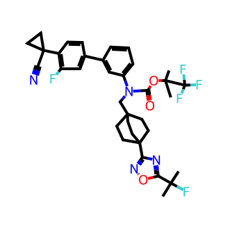 CC(C)(F)c1nc(C23CCC(CN(C(=O)OC(C)(C)C(F)(F)F)c4cccc(-c5ccc(C6(C#N)CC6)c(F)c5)c4)(CC2)CC3)no1